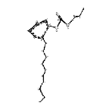 CCCCCCCCCCc1ccccc1OC(=O)OCCC